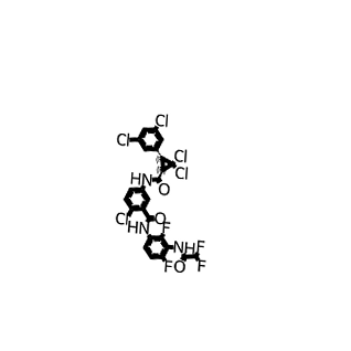 O=C(Nc1ccc(F)c(NC(=O)C(F)F)c1F)c1cc(NC(=O)[C@H]2[C@H](c3cc(Cl)cc(Cl)c3)C2(Cl)Cl)ccc1Cl